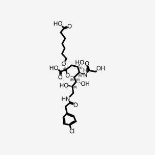 O=C(O)CCCCCCO[C@]1(C(=O)O)C[C@H](O)[C@@H](NC(=O)CO)[C@H]([C@H](O)[C@H](O)CNC(=O)Cc2ccc(Cl)cc2)O1